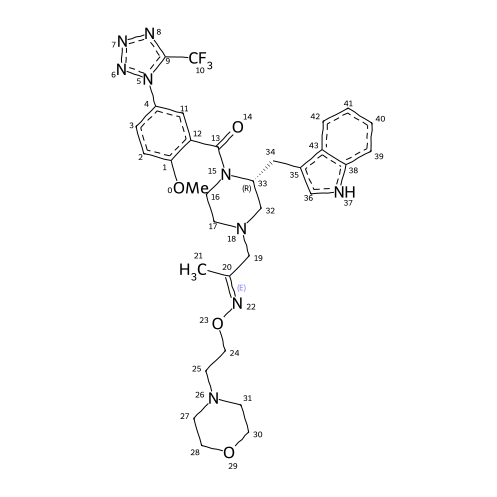 COc1ccc(-n2nnnc2C(F)(F)F)cc1C(=O)N1CCN(C/C(C)=N/OCCN2CCOCC2)C[C@H]1Cc1c[nH]c2ccccc12